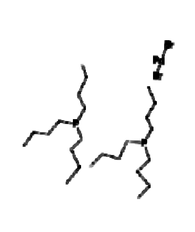 CCCCP(CCCC)CCCC.CCCCP(CCCC)CCCC.[Br][Pd][Br]